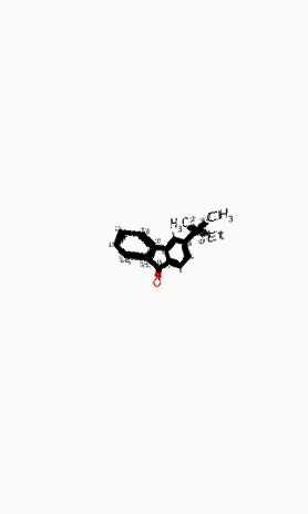 CCC(C)(C)c1ccc2c(c1)-c1ccccc1C2=O